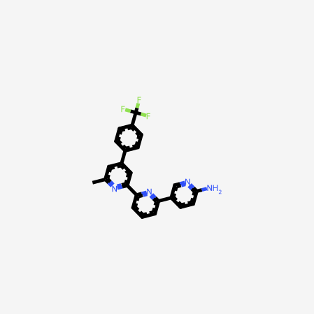 Cc1cc(-c2ccc(C(F)(F)F)cc2)cc(-c2cccc(-c3ccc(N)nc3)n2)n1